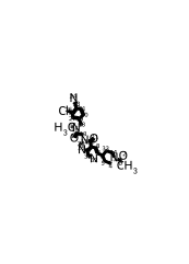 CC(=O)N1CCC(c2cc3c(=O)n(CC(=O)N(C)Cc4ccc(C#N)c(Cl)c4)cnc3cn2)CC1